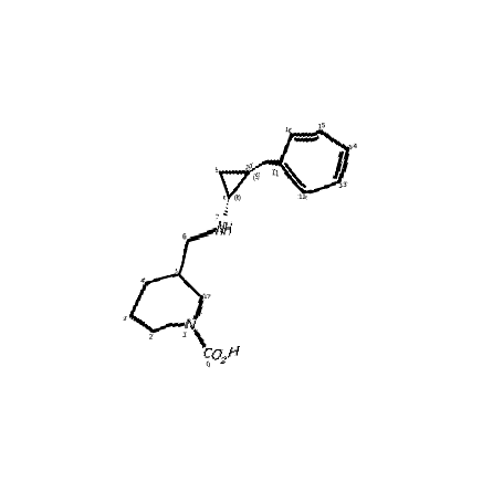 O=C(O)N1CCCC(CN[C@@H]2C[C@H]2c2ccccc2)C1